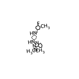 Cc1cc(CN[C@H]2CC[C@@H](Nc3nc(N(C)C)c4ccccc4n3)CC2)ccc1F